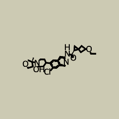 CCOC1CC2(C1)C[C@@H]2C(=O)Nc1cc2cc(C3CCN([C@@]4(C)COC[C@H]4O)CC3)c(Cl)cc2cn1